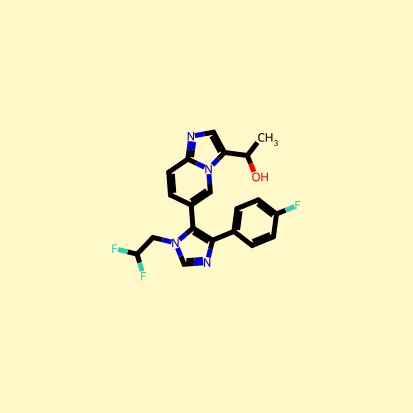 CC(O)c1cnc2ccc(-c3c(-c4ccc(F)cc4)ncn3CC(F)F)cn12